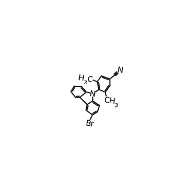 Cc1cc(C#N)cc(C)c1-n1c2ccccc2c2cc(Br)ccc21